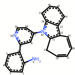 Nc1ccccc1-c1cc(-n2c3c(c4ccccc42)C=CC=CC3)ccn1